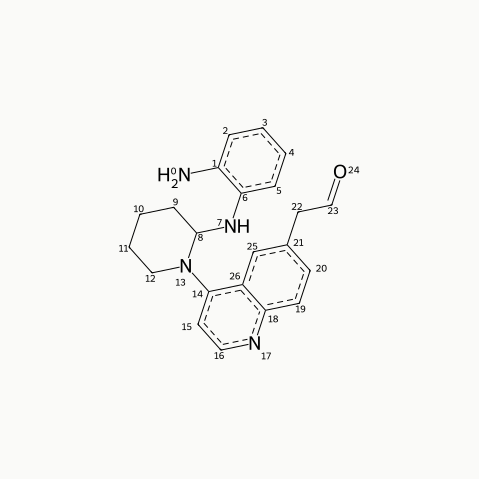 Nc1ccccc1NC1CCCCN1c1ccnc2ccc(CC=O)cc12